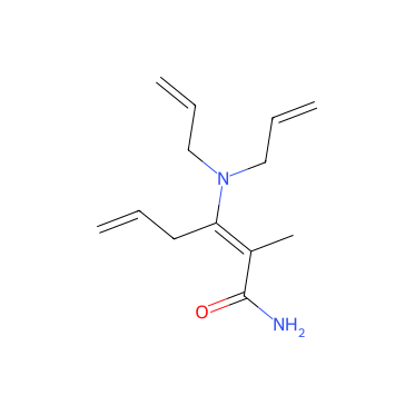 C=CCC(=C(C)C(N)=O)N(CC=C)CC=C